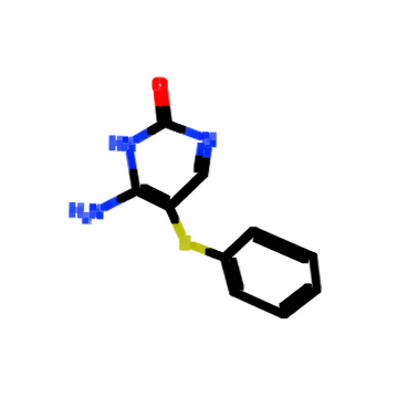 Nc1[nH]c(=O)ncc1Sc1ccccc1